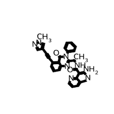 CC(NC(=O)c1c(N)ncc2cccnc12)c1nc2cccc(C#Cc3cnn(C)c3)c2c(=O)n1-c1ccccc1